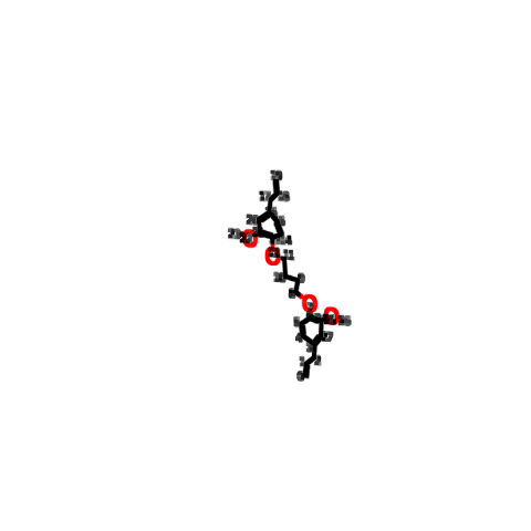 C=CCc1ccc(OCCCCOc2ccc(CC=C)cc2OC)c(OC)c1